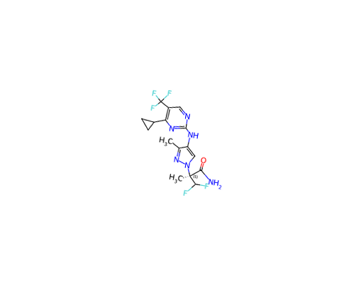 Cc1nn([C@@](C)(C(N)=O)C(F)F)cc1Nc1ncc(C(F)(F)F)c(C2CC2)n1